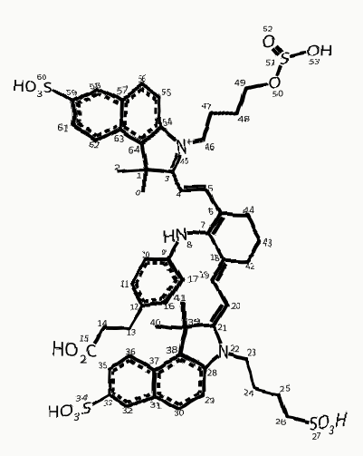 CC1(C)C(/C=C/C2=C(Nc3ccc(CCC(=O)O)cc3)C(=C/C=C3/N(CCCCS(=O)(=O)O)c4ccc5cc(S(=O)(=O)O)ccc5c4C3(C)C)/CCC2)=[N+](CCCCOS(=O)O)c2ccc3cc(S(=O)(=O)O)ccc3c21